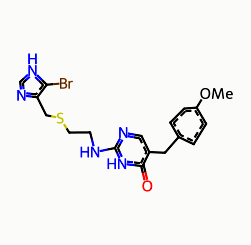 COc1ccc(Cc2cnc(NCCSCc3nc[nH]c3Br)[nH]c2=O)cc1